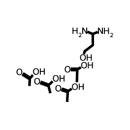 CC(=O)O.CC(=O)O.CC(=O)O.CC(=O)O.NC(N)CCO